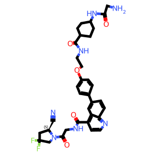 N#C[C@@H]1CC(F)(F)CN1C(=O)CNC(=O)c1ccnc2ccc(-c3ccc(OCCNC(=O)C4CCC(NC(=O)CN)CC4)cc3)cc12